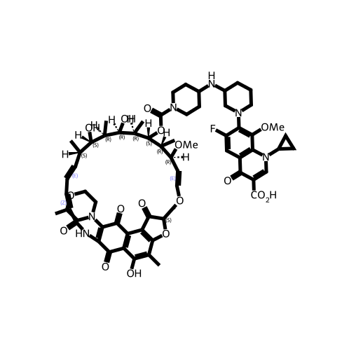 COc1c(N2CCCC(NC3CCN(C(=O)O[C@H]4[C@H](C)[C@H](O)[C@H](C)[C@@H](O)[C@@H](C)/C=C/C=C(/C)C(=O)NC5=C(N6CCOCC6)C(=O)c6c(c(O)c(C)c7c6C(=O)[C@@](C)(O/C=C/[C@H](OC)[C@H]4C)O7)C5=O)CC3)C2)c(F)cc2c(=O)c(C(=O)O)cn(C3CC3)c12